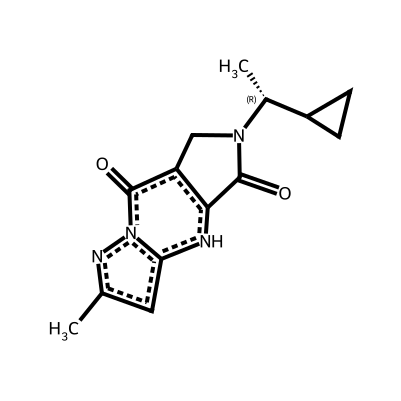 Cc1cc2[nH]c3c(c(=O)n2n1)CN([C@H](C)C1CC1)C3=O